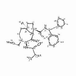 CCC(N)C(=O)N[C@@H]1C(=O)N2[C@@H](CC[C@@H]1COC)CC[C@H]2C(=O)NC(c1ccccc1)c1ccccc1